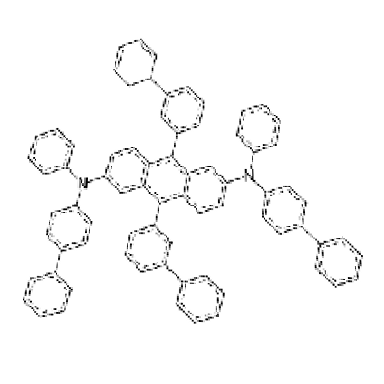 C1=CCC(c2cccc(-c3c4ccc(N(c5ccccc5)c5ccc(-c6ccccc6)cc5)cc4c(-c4cccc(-c5ccccc5)c4)c4ccc(N(c5ccccc5)c5ccc(-c6ccccc6)cc5)cc34)c2)C=C1